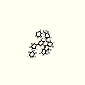 CC1(C)c2ccccc2B2c3cc(-c4cncc(-c5ccncc5)c4)cc4c3N(c3cccc1c32)c1cccc2c1B4c1ccccc1C2(C)C